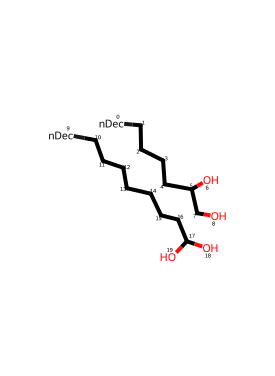 CCCCCCCCCCCCCCC(O)CO.CCCCCCCCCCCCCCCCCC(O)O